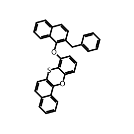 c1ccc(Cc2ccc3ccccc3c2Oc2cccc3c2Sc2ccc4ccccc4c2O3)cc1